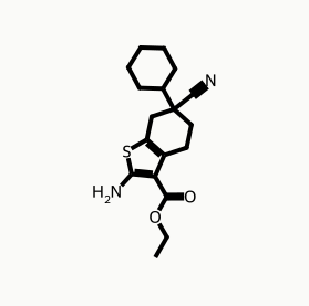 CCOC(=O)c1c(N)sc2c1CCC(C#N)(C1CCCCC1)C2